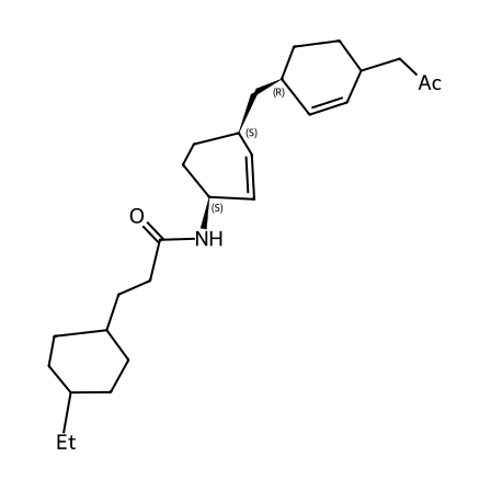 CCC1CCC(CCC(=O)N[C@@H]2C=C[C@H](C[C@@H]3C=CC(CC(C)=O)CC3)CC2)CC1